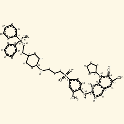 Cc1cc(S(=O)(=O)CCCOC2CCC(CO[Si](c3ccccc3)(c3ccccc3)C(C)(C)C)CC2)ccc1Nc1ncc2cc(Cl)c(=O)n(C3CCCC3)c2n1